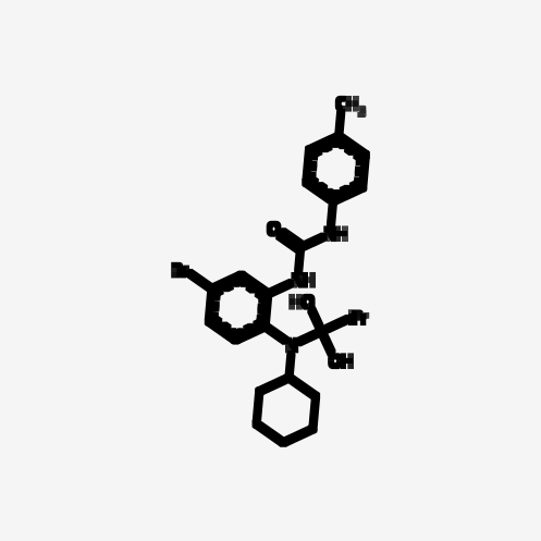 Cc1ccc(NC(=O)Nc2cc(Br)ccc2N(C2CCCCC2)C(O)(O)C(C)C)cc1